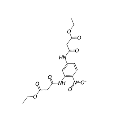 CCOC(=O)CC(=O)Nc1ccc([N+](=O)[O-])c(NC(=O)CC(=O)OCC)c1